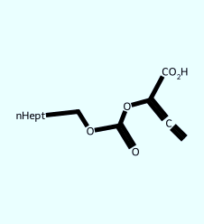 C=C=C(OC(=O)OCCCCCCCC)C(=O)O